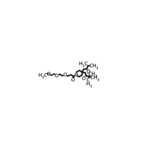 COCCOCCOCCC(=O)N1CCC(CC(=O)C(C)C)(CC(=O)C(C)(C)C)CC1